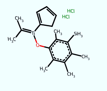 C[C](C)=[Ti]([O]c1c(C)c(C)c(C)c([SiH3])c1C)[C]1=CC=CC1.Cl.Cl